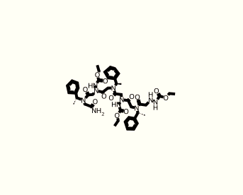 CCOC(=O)NNCC(=O)N(CC(=O)N(CC(=O)N(CC(=O)N(CC(=O)N(CC(N)=O)[C@H](C)c1ccccc1)NC(=O)OCC)[C@H](C)c1ccccc1)NC(=O)OCC)[C@H](C)c1ccccc1